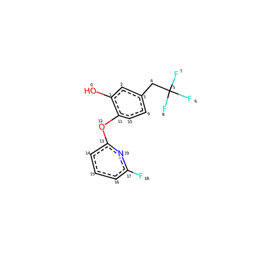 Oc1cc(CC(F)(F)F)ccc1Oc1cccc(F)n1